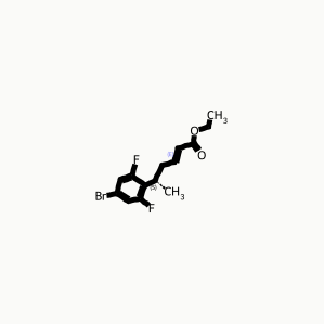 CCOC(=O)/C=C/C[C@H](C)c1c(F)cc(Br)cc1F